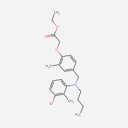 CCCCN(Cc1ccc(OCC(=O)OCC)c(C)c1)c1cccc(Br)c1C